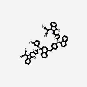 N#CC(C#N)=C1/C(=C/c2ccc(N(c3ccc(Cc4ccc(N(c5cccc(Cl)c5)c5ccc(/C=C6\C(=O)c7ccccc7C6=C(C#N)C#N)s5)c5ccccc45)cc3)c3cccc4ccccc34)s2)C(=O)c2ccccc21